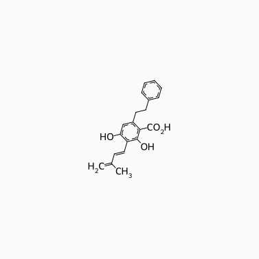 C=C(C)C=Cc1c(O)cc(CCc2ccccc2)c(C(=O)O)c1O